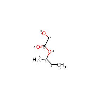 CCC(C)OC(=O)C[O]